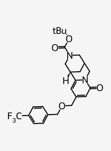 CC(C)(C)OC(=O)N1CC2C[C@@H](C1)c1cc(COCc3ccc(C(F)(F)F)cc3)cc(=O)n1C2